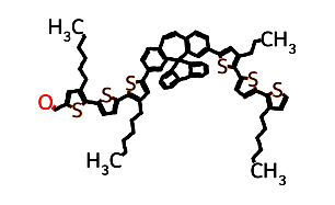 CCCCCCc1ccsc1-c1ccc(-c2sc(-c3ccc4c(c3)C3(c5cc(-c6cc(CCCCCC)c(-c7ccc(-c8sc(C=O)cc8CCCCCC)s7)s6)ccc5C=C4)c4ccccc4-c4ccccc43)cc2CCC)s1